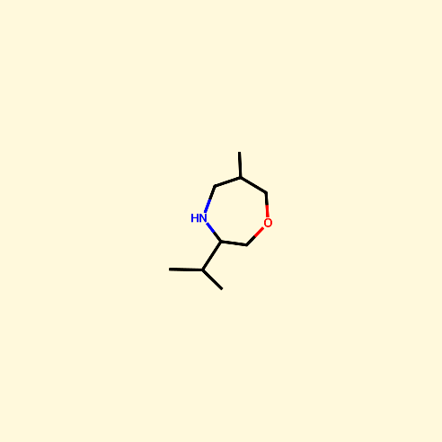 CC1CNC(C(C)C)COC1